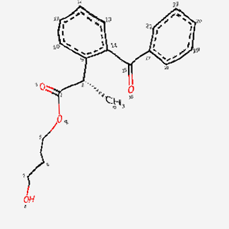 C[C@H](C(=O)OCCCO)c1ccccc1C(=O)c1ccccc1